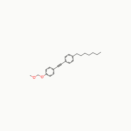 CCCCCCCc1ccc(C#Cc2ccc(OCOC)cc2)cc1